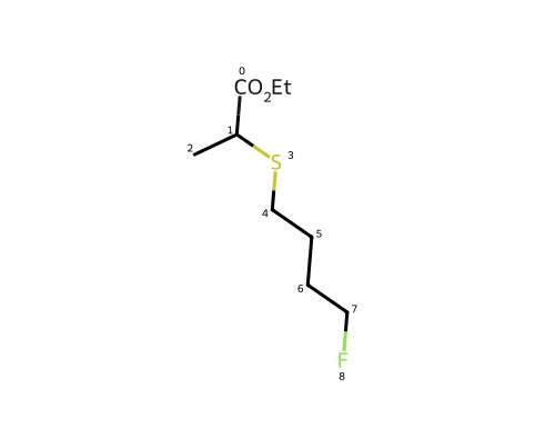 CCOC(=O)C(C)SCCCCF